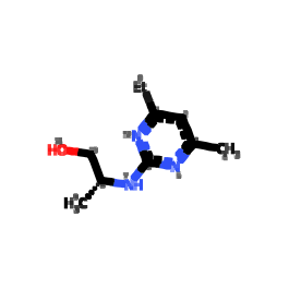 CCc1cc(C)nc(N[C@H](C)CO)n1